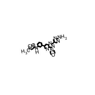 CN(C)CC(=O)Nc1cccc(-c2cnc3c(N4CCOCC4)nc(-c4cnc(N)nc4)nc3c2)c1